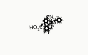 N#Cc1ccc(OCC(=O)O)c(C2c3ccc(F)c(F)c3CCN2C(=O)OCc2ccccc2)c1